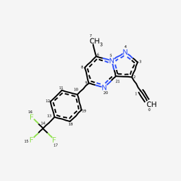 C#Cc1cnn2c(C)cc(-c3ccc(C(F)(F)F)cc3)nc12